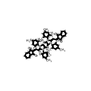 Cc1cc(C)c(N2C(=CC=C3C(=O)c4ccccc4C3=O)N(c3c(C)cc(C)cc3C)c3nc4c(nc32)N(c2c(C)cc(C)cc2C)C(=CC=C2C(=O)c3ccccc3C2=O)N4c2c(C)cc(C)cc2C)c(C)c1